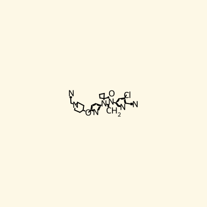 C=C1N(c2cnc(C#N)c(Cl)c2)C(=O)C2(CCC2)N1c1ccc(OC2CCN(CC#N)CC2)nc1